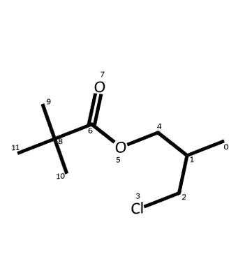 CC(CCl)COC(=O)C(C)(C)C